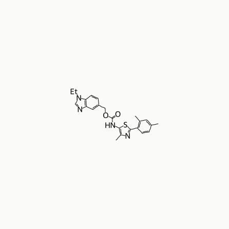 CCn1cnc2cc(COC(=O)Nc3sc(-c4ccc(C)cc4C)nc3C)ccc21